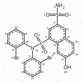 NS(=O)(=O)c1cc(S(=O)(=O)N(c2ccccc2Br)c2ccccc2Br)c2cc(O)ccc2c1